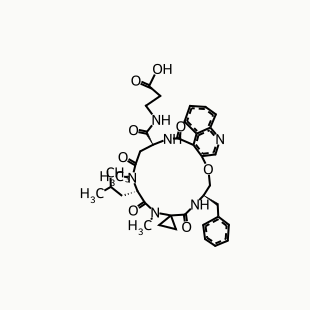 CC(C)C[C@H]1C(=O)N(C)C2(CC2)C(=O)N[C@H](Cc2ccccc2)COc2cnc3ccccc3c2C(=O)N[C@H](C(=O)NCCC(=O)O)CC(=O)N1C